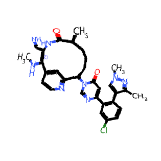 CN/C1=C(\C=N)NC(=O)C(C)CCCC(n2cnc(-c3cc(Cl)ccc3-c3cn(C)nc3C)cc2=O)c2cc1ccn2